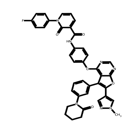 Cn1cc(-c2oc3ncnc(Oc4ccc(NC(=O)c5cccn(-c6ccc(F)cc6)c5=O)cc4)c3c2-c2cccc(N3CCCCC3=O)c2)cn1